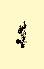 O=C1CCC(N2C(=O)c3cccc(NCc4nnn(CC(=O)NC(c5cccnc5)c5cc6ccccc6o5)n4)c3C2=O)C(=O)N1